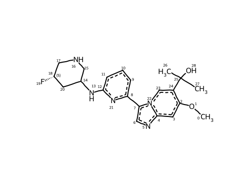 COc1cc2ncc(-c3cccc(NC4CNC[C@@H](F)C4)n3)n2cc1C(C)(C)O